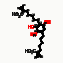 O=C(O)C1(CCCCCc2cc(O)c(CCCCCC3(C(=O)O)CC3)c(O)c2O)CC1